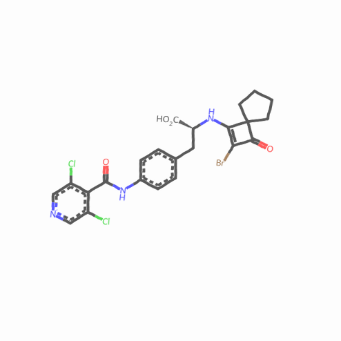 O=C(Nc1ccc(C[C@H](NC2=C(Br)C(=O)C23CCCC3)C(=O)O)cc1)c1c(Cl)cncc1Cl